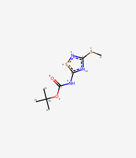 CSc1nsc(NC(=O)OC(C)(C)C)n1